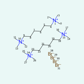 C[N+](C)(C)CCCCCC[N+](C)(C)C.C[N+](C)(C)CCCCCC[N+](C)(C)C.[Br-].[Br-].[Br-].[Br-]